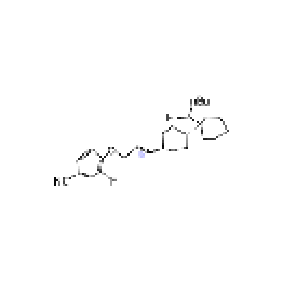 CCCCC(CC)C1([C@H]2CC[C@H](/C=C/COc3ccc(C#N)cc3F)CC2)CCCCC1